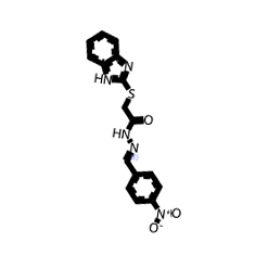 O=C(CSc1nc2ccccc2[nH]1)N/N=C/c1ccc([N+](=O)[O-])cc1